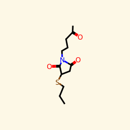 CCCSC1CC(=O)N(CCCC(C)=O)C1=O